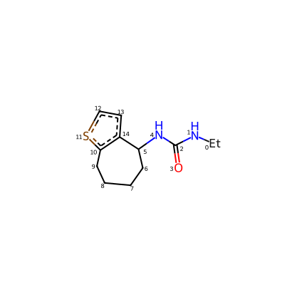 CCNC(=O)NC1CCCCc2sccc21